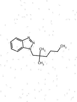 CCCCC(C)(C)Cn1nnc2ccccc21